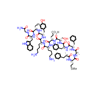 CSCC[C@H](NC(=O)[C@@H](C)Cc1ccccc1)C(=O)N[C@@H](C)C(=O)N[C@@H](Cc1ccccc1)C(=O)N[C@@H](Cc1ccccc1)C(=O)N[C@@H](CO)C(=O)N[C@@H](CCC(=O)O)C(=O)N[C@@H](CCCCN)C(=O)N[C@@H](CCCCN)C(=O)N[C@@H](Cc1ccc(O)cc1)C(=O)N[C@@H](CC(C)C)C(=O)N[C@@H](Cc1c[nH]c2ccccc12)C(=O)NCC(N)=O